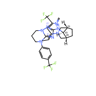 C=N/C(=C\C(=C/C)N1C[C@H]2CC[C@@H](C1)[C@@H]2Nc1nc2n(n1)CCCN2c1ccc(C(F)(F)F)cc1)C(F)(F)F